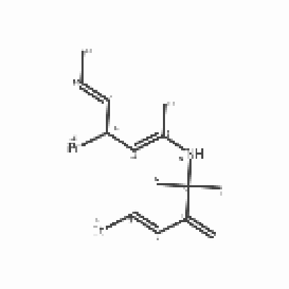 C=C(C=CCC)C(C)(C)NC(C)=CC(C=CC)C(C)C